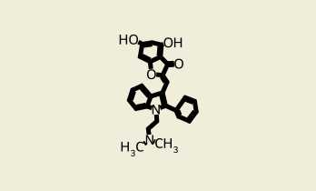 CN(C)CCn1c(-c2ccccc2)c(C=C2Oc3cc(O)cc(O)c3C2=O)c2ccccc21